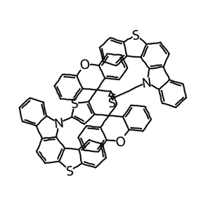 c1ccc2c(c1)Oc1ccccc1C21c2cc(-n3c4ccccc4c4ccc5sc6ccccc6c5c43)sc2C2(c3ccccc3Oc3ccccc32)c2cc(-n3c4ccccc4c4ccc5sc6ccccc6c5c43)sc21